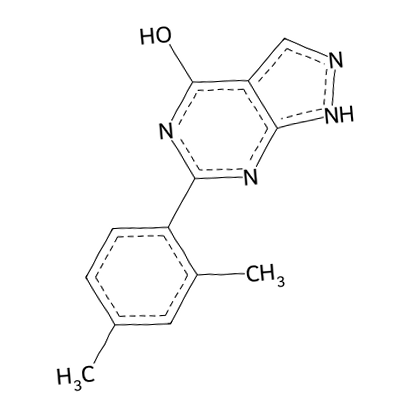 Cc1ccc(-c2nc(O)c3cn[nH]c3n2)c(C)c1